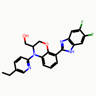 CCc1ccc(N2c3cccc(-c4nc5cc(F)c(F)cc5[nH]4)c3OCC2CO)nc1